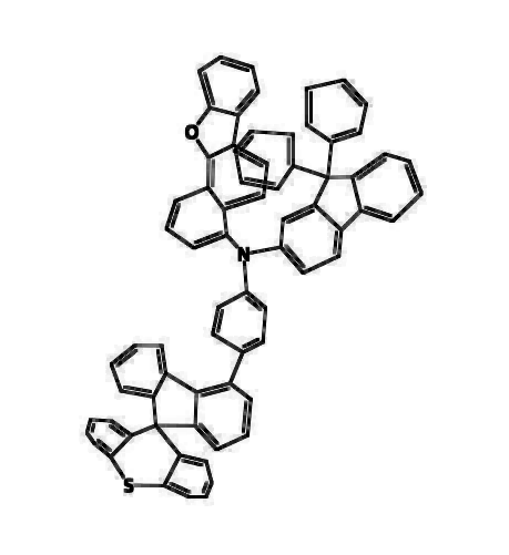 c1ccc(C2(c3ccccc3)c3ccccc3-c3ccc(N(c4ccc(-c5cccc6c5-c5ccccc5C65c6ccccc6Sc6ccccc65)cc4)c4cccc5c4ccc4c6ccccc6oc54)cc32)cc1